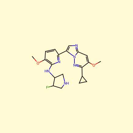 COc1ccc(-c2cnc3cc(OC)c(C4CC4)nn23)nc1NC1CNCC1F